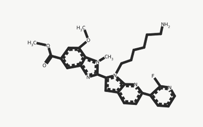 COC(=O)c1cc(OC)c2c(c1)nc(-c1cc3ccc(-c4cccnc4F)nc3n1CCCCCCN)n2C